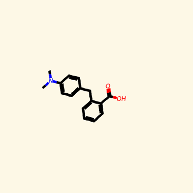 CN(C)c1ccc(Cc2ccccc2C(=O)O)cc1